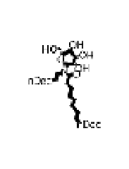 CCCCCCCCCCCCCCCCCC(=O)N(CCCCCCCCCCCC)[C@@H]1O[C@H](CO)[C@H](O)[C@H](O)[C@H]1O